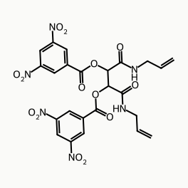 C=CCNC(=O)C(OC(=O)c1cc([N+](=O)[O-])cc([N+](=O)[O-])c1)C(OC(=O)c1cc([N+](=O)[O-])cc([N+](=O)[O-])c1)C(=O)NCC=C